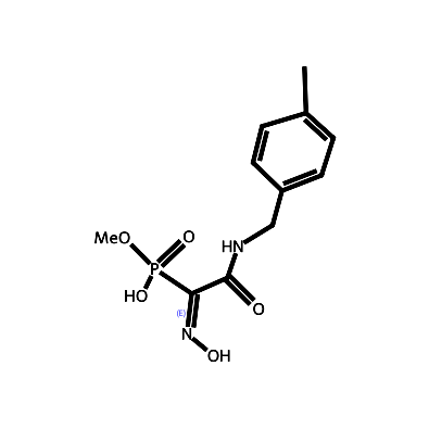 COP(=O)(O)/C(=N/O)C(=O)NCc1ccc(C)cc1